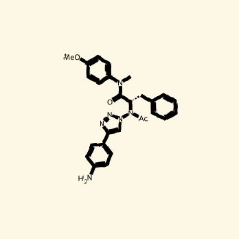 COc1ccc(N(C)C(=O)[C@H](Cc2ccccc2)N(C(C)=O)n2cc(-c3ccc(N)cc3)nn2)cc1